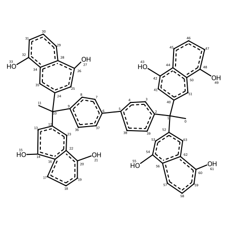 CC(c1ccc(-c2ccc(C(C)(c3cc(O)c4cccc(O)c4c3)c3cc(O)c4cccc(O)c4c3)cc2)cc1)(c1cc(O)c2cccc(O)c2c1)c1cc(O)c2cccc(O)c2c1